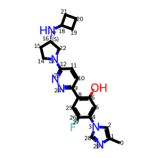 Cc1cn(-c2cc(O)c(-c3ccc(N4CC[C@H](NC5CCC5)C4)nn3)cc2F)cn1